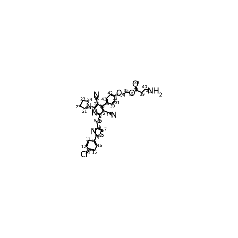 N#Cc1c(SCc2csc(-c3ccc(Cl)cc3)n2)nc(N2CCCC2)c(C#N)c1-c1ccc(OCCOC(=O)CCN)cc1